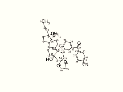 CC#C[C@]1(O)CCC2C3CC[C@@]4(O)CC5(CCC4=C3[C@@H](c3ccc(C(=O)c4ccc(C#N)cc4)cc3)C[C@@]21C)OCCO5